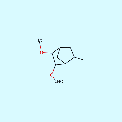 CCOC1C2CC(C)C(C2)C1OC=O